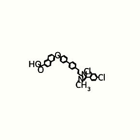 CCn1cc(-c2ccc(Cl)cc2Cl)nc1C=Cc1ccc(-c2ccc(Oc3ccc4cc(C(=O)O)ccc4c3)cc2)cc1